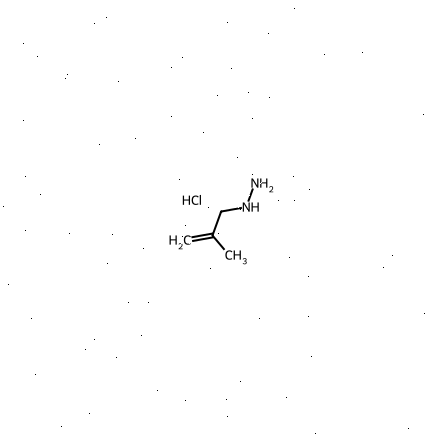 C=C(C)CNN.Cl